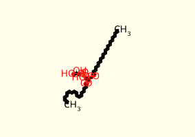 CC/C=C\C/C=C\C/C=C\C/C=C\CCCCC(=O)O[C@H](COC(=O)CCCCCCCCCCCCCCCCCCCCC)COP(=O)(O)OC[C@@H](O)CO